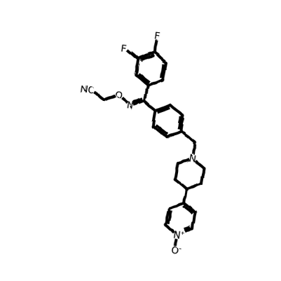 N#CCON=C(c1ccc(CN2CCC(c3cc[n+]([O-])cc3)CC2)cc1)c1ccc(F)c(F)c1